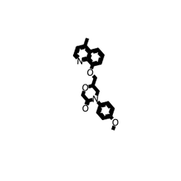 COc1ccc(N2CC(COc3cccc4c(C)ccnc34)OCC2=O)cc1